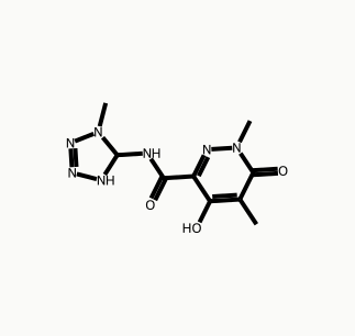 Cc1c(O)c(C(=O)NC2NN=NN2C)nn(C)c1=O